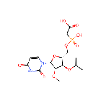 CO[C@@H]1[C@H](OC(C)C)[C@@H](COP(=O)(O)CC(=O)O)O[C@H]1n1ccc(=O)[nH]c1=O